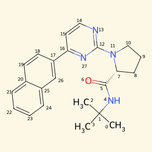 CC(C)(C)NC(=O)[C@H]1CCCN1c1nccc(-c2ccc3ccccc3c2)n1